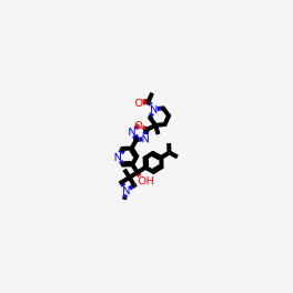 CC(=O)N1CCCC(C)(c2nc(-c3cncc(C(O)(c4ccc(C(C)C)cc4)C4(C)CN(C)C4)c3)no2)C1